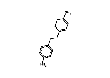 NC1=CC=C(CCc2ccc(N)cc2)CC1